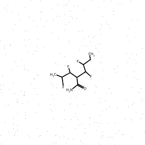 CCC(F)C(F)C(C(N)=O)C(F)C(C)F